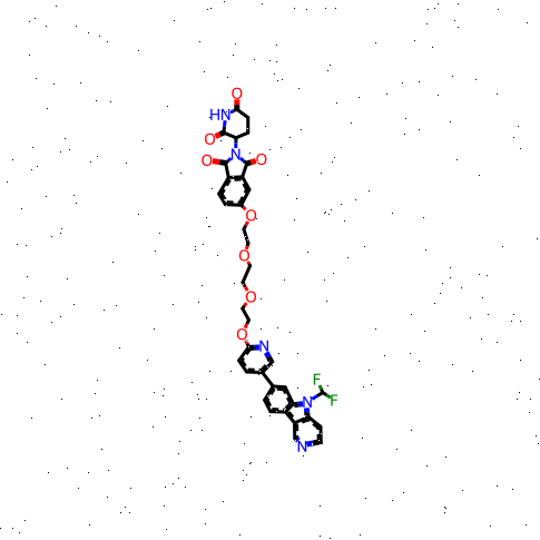 O=C1CCC(N2C(=O)c3ccc(OCCOCCOCCOc4ccc(-c5ccc6c7cnccc7n(C(F)F)c6c5)cn4)cc3C2=O)C(=O)N1